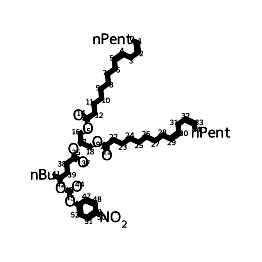 CCCCC/C=C\C/C=C\CCCCCCCC(=O)OCC(COC(=O)CCCCCCC/C=C\C/C=C\CCCCC)OC(=O)CCC(CCCC)OC(=O)Oc1ccc([N+](=O)[O-])cc1